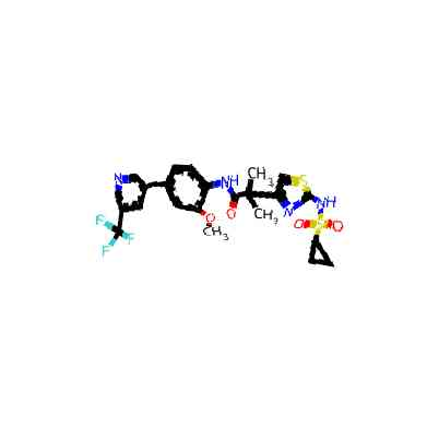 COc1cc(-c2cncc(C(F)(F)F)c2)ccc1NC(=O)C(C)(C)c1csc(NS(=O)(=O)C2CC2)n1